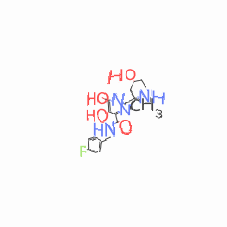 C[C@@]1(c2nc(O)c(O)c(C(=O)NCc3ccc(F)cc3)n2)C[C@H](O)CCN1